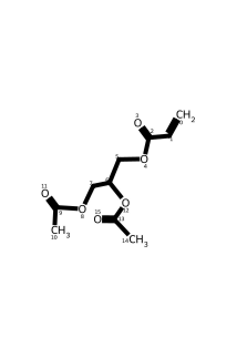 C=CC(=O)OCC(COC(C)=O)OC(C)=O